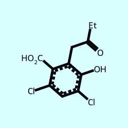 CCC(=O)Cc1c(O)c(Cl)cc(Cl)c1C(=O)O